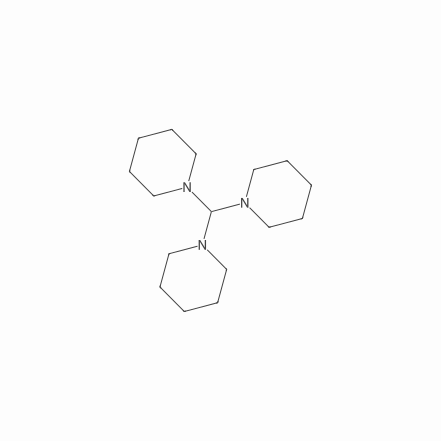 C1CCN(C(N2CCCCC2)N2CCCCC2)CC1